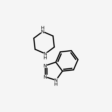 C1CNCCN1.c1ccc2[nH]nnc2c1